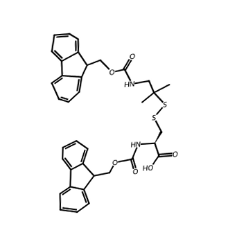 CC(C)(CNC(=O)OCC1c2ccccc2-c2ccccc21)SSC[C@H](NC(=O)OCC1c2ccccc2-c2ccccc21)C(=O)O